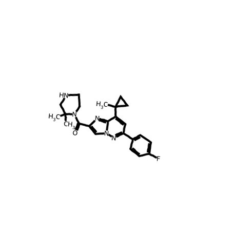 CC1(c2cc(-c3ccc(F)cc3)nn3cc(C(=O)N4CCNCC4(C)C)nc23)CC1